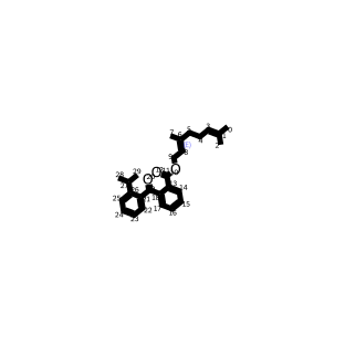 CC(C)=CCC/C(C)=C/COC(=O)c1ccccc1C(=O)c1ccccc1C(C)C